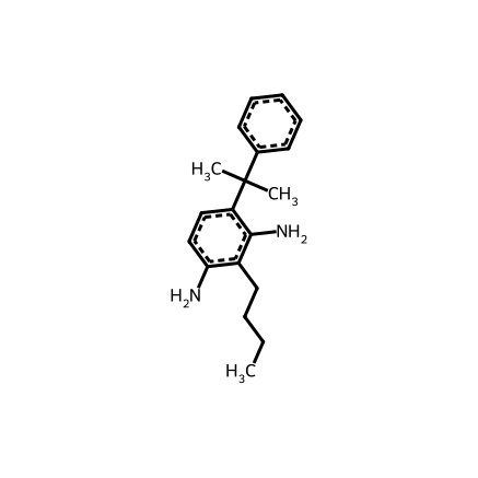 CCCCc1c(N)ccc(C(C)(C)c2ccccc2)c1N